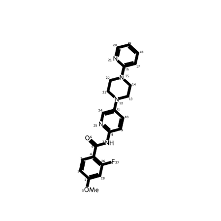 COc1ccc(C(=O)Nc2ccc(N3CCN(c4ccccn4)CC3)cn2)c(F)c1